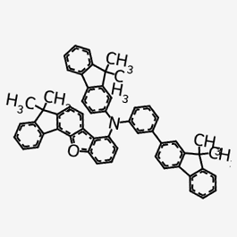 CC1(C)c2ccccc2-c2ccc(-c3cccc(N(c4ccc5c(c4)C(C)(C)c4ccccc4-5)c4cccc5oc6c7c(ccc6c45)C(C)(C)c4ccccc4-7)c3)cc21